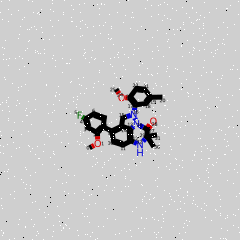 COc1cc(F)ccc1-c1ccc2c3c1CN(c1cc(C)ccc1OC)N3C(=O)C(C)(C)N2